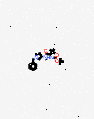 CN(C(=O)[C@@H](NC(=O)OC(C)(C)C)C(C)(C)C)[C@H]1CCN(Cc2ccccc2)C1